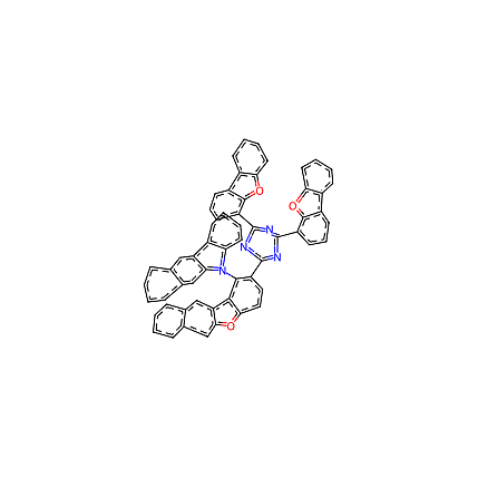 c1ccc2cc3c(cc2c1)oc1ccc(-c2nc(-c4cccc5c4oc4ccccc45)nc(-c4cccc5c4oc4ccccc45)n2)c(-n2c4ccccc4c4cc5ccccc5cc42)c13